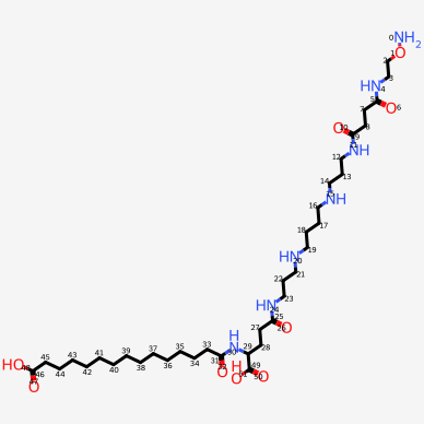 NOCCNC(=O)CCC(=O)NCCCNCCCCNCCCNC(=O)CCC(NC(=O)CCCCCCCCCCCCCC(=O)O)C(=O)O